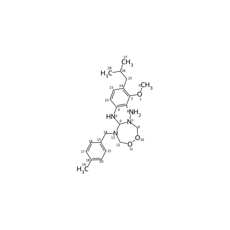 COc1cc(NC2N(N)COOCN2Cc2ccc(C)cc2)ccc1CC(C)C